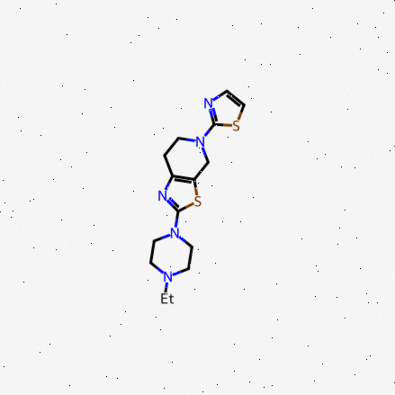 CCN1CCN(c2nc3c(s2)CN(c2nccs2)CC3)CC1